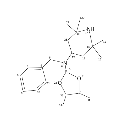 CC1OP(N(Cc2ccccc2)C2CC(C)(C)NC(C)(C)C2)OC1C